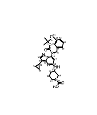 CC(C)(C)OC(=O)N(Cc1cccc(Cl)c1)c1cc(NC2CCCN(C(=O)O)C2)nc2c(C3CC3)cnn12